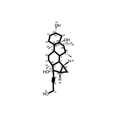 C[C@@H]1C2C3[C@@H]4C[C@@H]4[C@@](O)(C#CCO)[C@@]3(C)CCC2[C@@]2(C)CC[C@H](O)C[C@@]2(O)[C@@H]1C